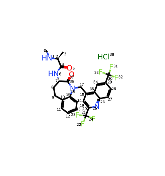 CN[C@@H](C)C(=O)N[C@H]1CCc2ccccc2N(Cc2cc(C(F)(F)F)nc3ccc(C(F)(F)F)cc23)C1=O.Cl